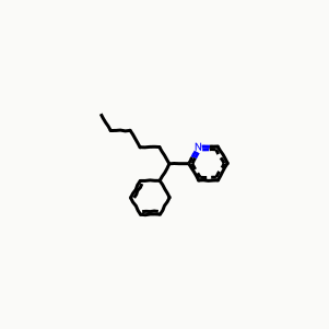 CCCCCC(c1ccccn1)C1C=CC=CC1